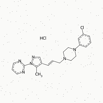 Cc1c(C=CCN2CCN(c3cccc(Cl)c3)CC2)cnn1-c1ncccn1.Cl